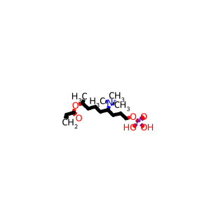 C=CC(=O)OC(C)CCCC(CCCOP(=O)(O)O)[N+](C)(C)C